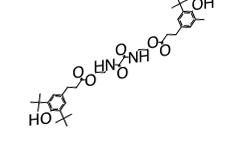 Cc1cc(CCC(=O)OCCNC(=O)C(=O)NCCOC(=O)CCc2cc(C(C)(C)C)c(O)c(C(C)(C)C)c2)cc(C(C)(C)C)c1O